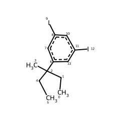 CCC(C)(CC)c1cc(I)cc(I)c1